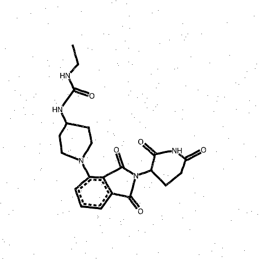 CCNC(=O)NC1CCN(c2cccc3c2C(=O)N(C2CCC(=O)NC2=O)C3=O)CC1